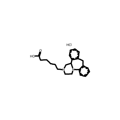 Cl.O=C(O)CCCCCN1CCN2c3ccccc3Cc3ccccc3C2C1